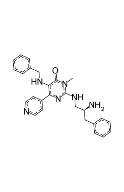 Cn1c(NC[C@@H](N)Cc2ccccc2)nc(-c2ccncc2)c(NCc2ccccc2)c1=O